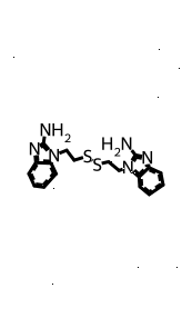 Nc1nc2ccccc2n1CCSSCCn1c(N)nc2ccccc21